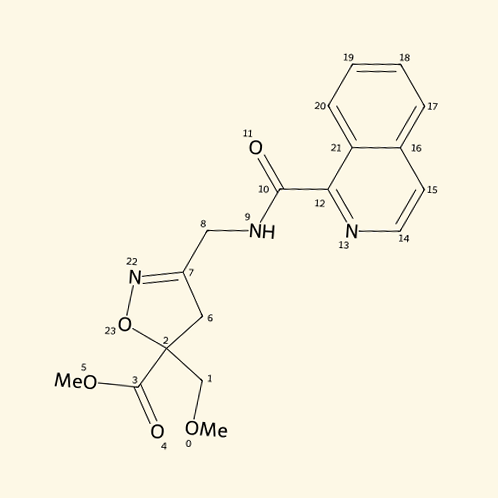 COCC1(C(=O)OC)CC(CNC(=O)c2nccc3ccccc23)=NO1